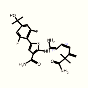 C=C(/C=C\C=C(/N)Nc1sc(-c2c(F)cc(C(C)(C)O)cc2F)cc1C(N)=O)C(C)(C)C(N)=O